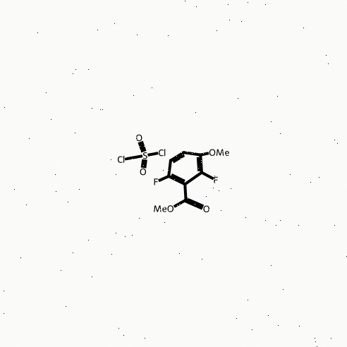 COC(=O)c1c(F)ccc(OC)c1F.O=S(=O)(Cl)Cl